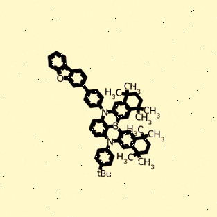 CC(C)(C)c1ccc(N2c3cc4c(cc3B3c5cc6c(cc5N(c5ccc(-c7ccc8c(c7)oc7ccccc78)cc5)c5cccc2c53)C(C)(C)CCC6(C)C)C(C)(C)CCC4(C)C)cc1